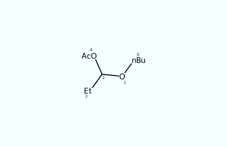 CCCCOC(CC)OC(C)=O